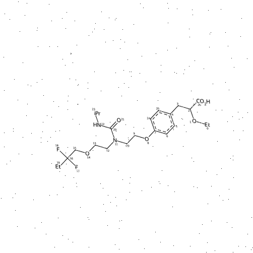 CCOC(Cc1ccc(OCCN(CCOCC(F)(F)CC)C(=O)NC(C)C)cc1)C(=O)O